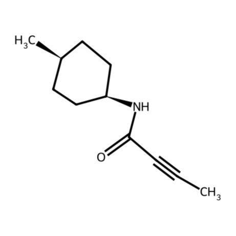 CC#CC(=O)N[C@H]1CC[C@@H](C)CC1